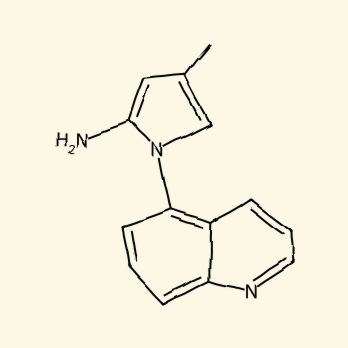 Cc1cc(N)n(-c2cccc3ncccc23)c1